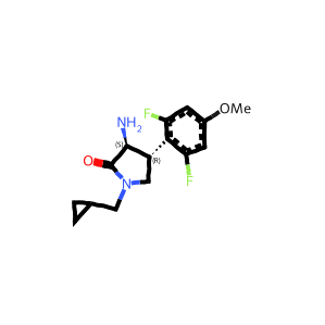 COc1cc(F)c([C@@H]2CN(CC3CC3)C(=O)[C@H]2N)c(F)c1